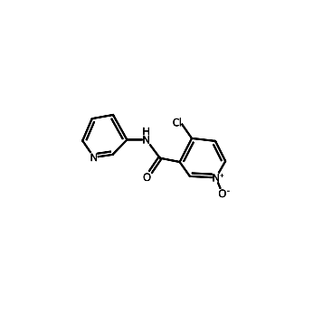 O=C(Nc1cccnc1)c1c[n+]([O-])ccc1Cl